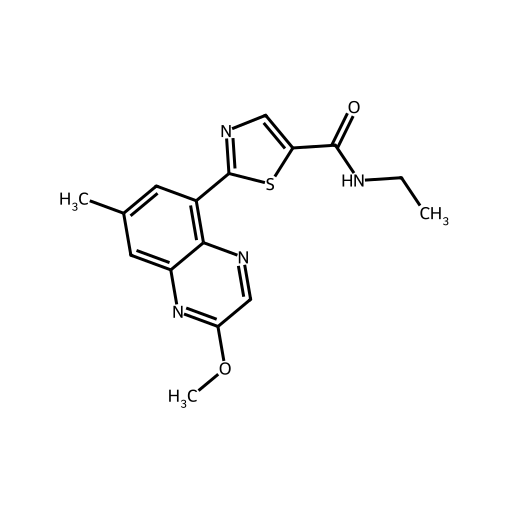 CCNC(=O)c1cnc(-c2cc(C)cc3nc(OC)cnc23)s1